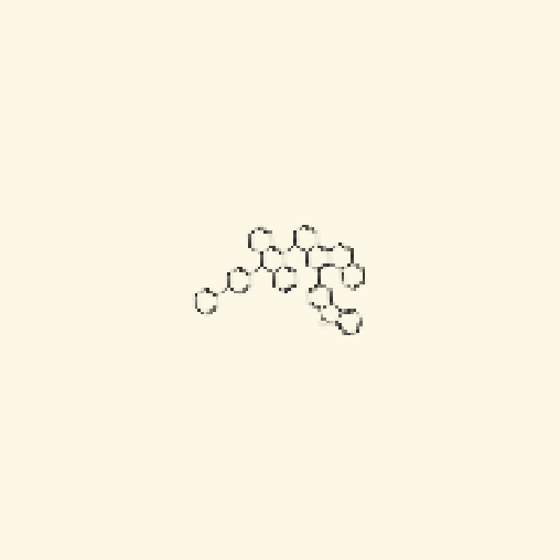 c1ccc(-c2ccc(-c3c4ccccc4c(-c4cccc5c4cc(-c4ccc6oc7ccccc7c6c4)c4c6ccccc6ccc54)c4ccccc34)cc2)cc1